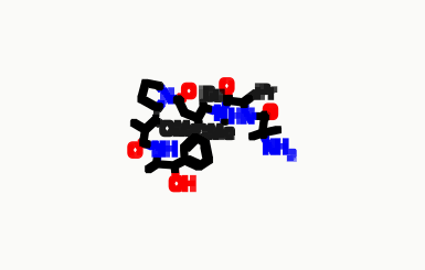 CCC(C)C(C(CC(=O)N1CCC[C@H]1C(OC)C(C)C(=O)NC(C)C(O)c1ccccc1)OC)N(C)C(=O)C(NC(=O)C(C)(C)N)C(C)C